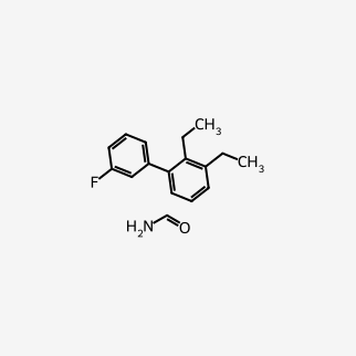 CCc1cccc(-c2cccc(F)c2)c1CC.NC=O